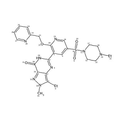 CCc1c2nc(-c3cc(S(=O)(=O)N4CCN(CC)CC4)cnc3OCc3ccccn3)[nH]c(=O)c2nn1C